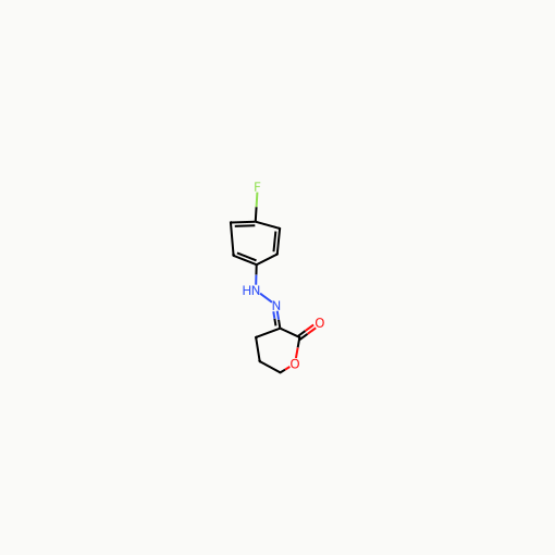 O=C1OCCC/C1=N\Nc1ccc(F)cc1